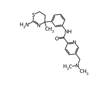 CN(C)Cc1ccc(C(=O)Nc2cccc(C3(C)CCSC(N)=N3)c2)nc1